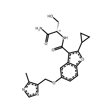 Cc1ncsc1COc1ccc2oc(C3CC3)c(C(=O)N[C@@H](CO)C(N)=O)c2c1